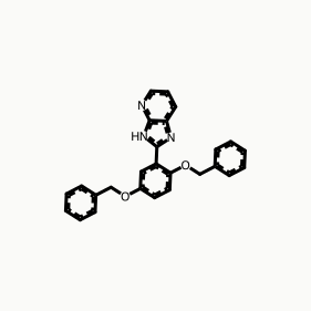 c1ccc(COc2ccc(OCc3ccccc3)c(-c3nc4cccnc4[nH]3)c2)cc1